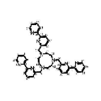 c1ccc(-c2cccc(CN3CCN(Cc4cccc(-c5ccccn5)n4)CCN(Cc4cccc(-c5ccccn5)n4)CC3)n2)nc1